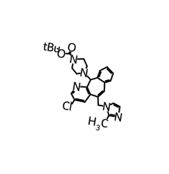 Cc1nccn1CC1=Cc2ccccc2C(N2CCN(C(=O)OC(C)(C)C)CC2)c2ncc(Cl)cc21